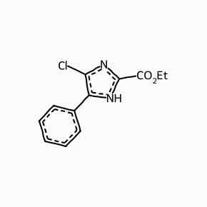 CCOC(=O)c1nc(Cl)c(-c2ccccc2)[nH]1